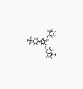 Cc1cc(SCc2cn(-c3ccc(C(F)(F)F)cc3)nc2CCc2ccccc2F)ccc1O